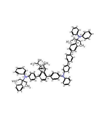 CCC(CC)(c1ccccc1)N(c1ccccc1)c1ccc(-c2ccc(-c3ccc(N(c4ccccc4)c4ccc(-c5ccc(-c6ccc(C(CC)(CC)N(c7ccccc7)c7ccccc7)cc6)cc5)cc4)cc3)c3c2C2C=C(C)C3CC2C(C)C)cc1